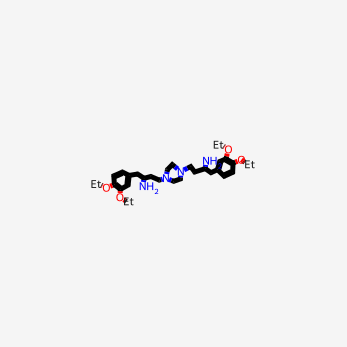 CCOc1ccc(CC(N)CCN2CCN(CCC(N)Cc3ccc(OCC)c(OCC)c3)CC2)cc1OCC